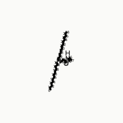 CCCCCCCCCCCCCCN(CCCCCCCCCCCCCC)CCC(=O)NC(C)(C)C